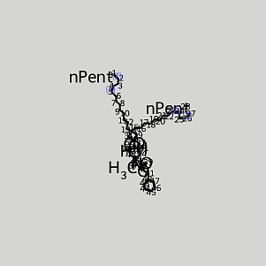 CCCCC/C=C\C/C=C\CCCCCCCCC1(CCCCCCCC/C=C\C/C=C\CCCCC)CC2(C1)O[C@H]1C[C@@H](N(C)C(=O)OCc3ccccc3)C[C@H]1O2